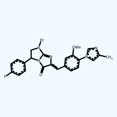 CCN1CC(c2ccc(F)cc2)N2C(=O)/C(=C/c3ccc(-n4cnc(C)c4)c(OC)c3)N=C12